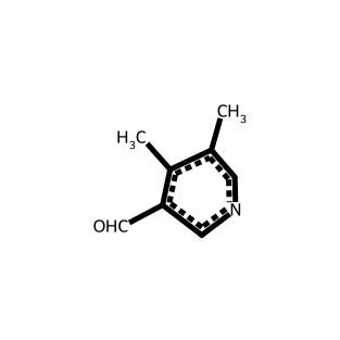 Cc1cncc(C=O)c1C